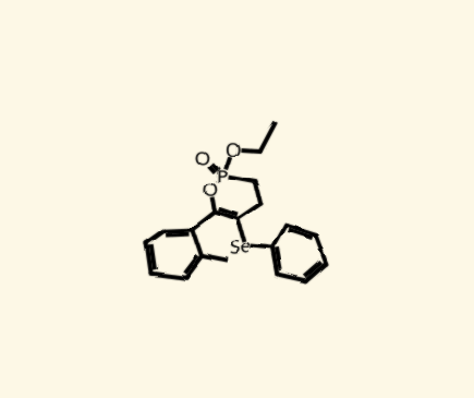 CCOP1(=O)CCC([Se]c2ccccc2)=C(c2ccccc2C)O1